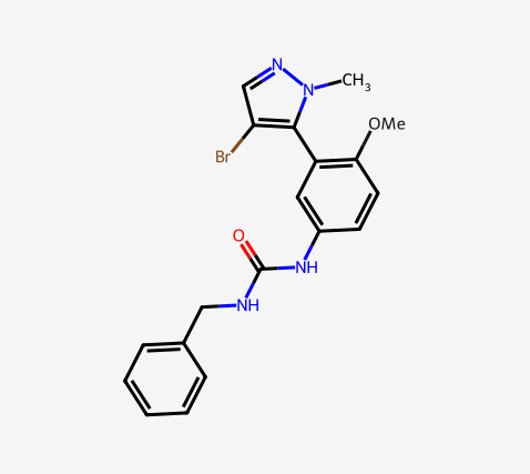 COc1ccc(NC(=O)NCc2ccccc2)cc1-c1c(Br)cnn1C